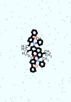 CCc1ccc2c(oc3ccccc32)c1N(c1ccccc1C)c1cc(C(C)C)c2ccc3c(N(c4ccccc4C)c4c(CC)ccc5c4oc4ccccc45)cc(C(C)C)c4ccc1c2c43